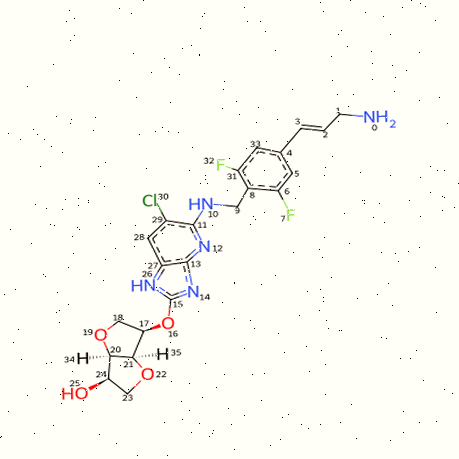 NC/C=C/c1cc(F)c(CNc2nc3nc(O[C@@H]4CO[C@H]5[C@@H]4OC[C@H]5O)[nH]c3cc2Cl)c(F)c1